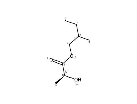 CCC(C)COC(=O)[C@H](C)O